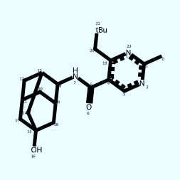 Cc1ncc(C(=O)NC2C3CC4CC2CC(O)(C4)C3)c(CC(C)(C)C)n1